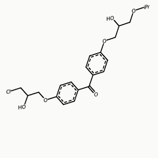 CC(C)OCC(O)COc1ccc(C(=O)c2ccc(OCC(O)CCl)cc2)cc1